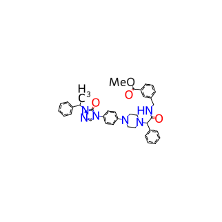 COC(=O)c1cccc(CNC(=O)C(c2ccccc2)N2CCN(c3ccc(-n4cnn(C(C)c5ccccc5)c4=O)cc3)CC2)c1